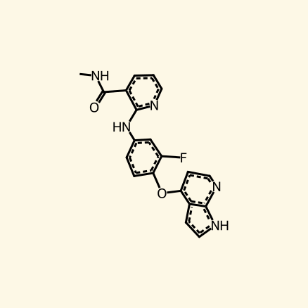 CNC(=O)c1cccnc1Nc1ccc(Oc2ccnc3[nH]ccc23)c(F)c1